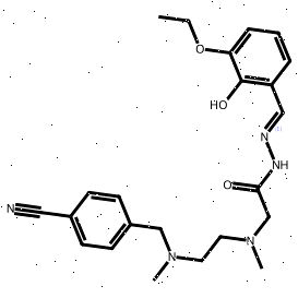 CCOc1cccc(/C=N/NC(=O)CN(C)CCN(C)Cc2ccc(C#N)cc2)c1O